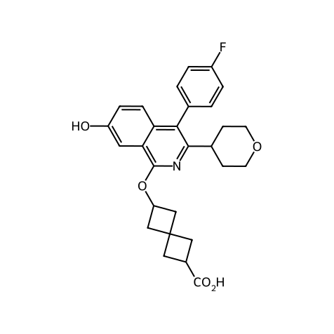 O=C(O)C1CC2(CC(Oc3nc(C4CCOCC4)c(-c4ccc(F)cc4)c4ccc(O)cc34)C2)C1